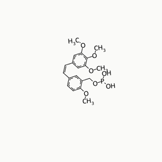 COc1ccc(/C=C\c2cc(OC)c(OC)c(OC)c2)cc1COP(O)O